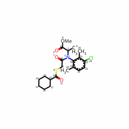 COC(=O)C(C)N(C(=O)CSC(=O)C1CCCCC1)c1c(C)ccc(Cl)c1C